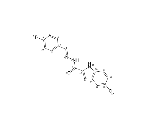 O=C(NN=Cc1ccc(F)cc1)c1cc2cc(Cl)ccc2[nH]1